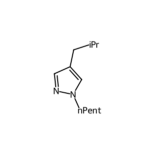 CCCCCn1cc(CC(C)C)cn1